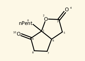 CCCCCC12OC(=O)CC1CCC2=O